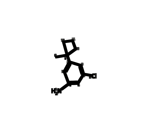 CC1(c2cc(N)cc(Cl)c2)CCC1